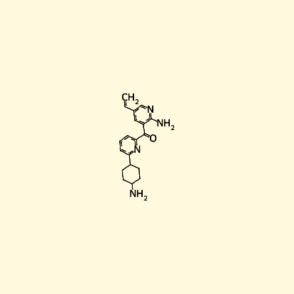 C=Cc1cnc(N)c(C(=O)c2cccc(C3CCC(N)CC3)n2)c1